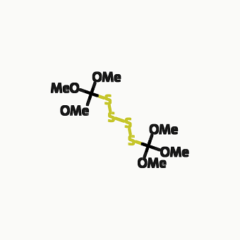 COC(OC)(OC)SSSSC(OC)(OC)OC